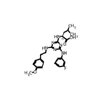 COc1ccc(CCNc2nc(Nc3cccc(F)c3)nc(N[C@@H](CC(C)C)C(=O)O)n2)cc1